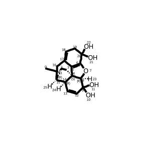 CN1CC[C@]23C4=C5O[C@H]2C(O)(O)C=C[C@H]3[C@H]1CC4=CCC5(O)O